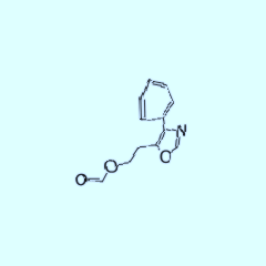 O=COCCc1ocnc1-c1ccccc1